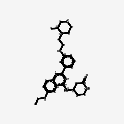 CCOc1ccc2nc(-c3cccc(OCCN4CCOCC4C)c3)nc(NC3CCNC(=O)C3)c2c1